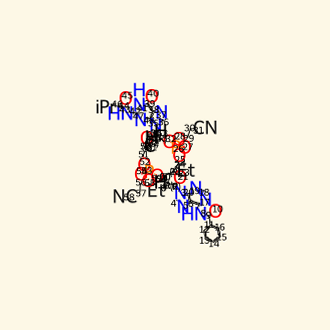 CC[C@H]1[C@H](n2cnc3c(NC(=O)c4ccccc4)ncnc32)O[C@]2(CC)COP(=O)(OCCC#N)O[C@H]3[C@H](n4cnc5c(=O)[nH]c(NC(=O)C(C)C)nc54)O[C@@]4(COP(=O)(OCCC#N)O[C@@H]12)C[C@@H]34